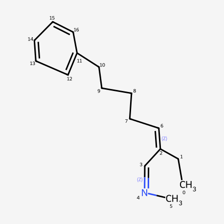 CCC(/C=N\C)=C/CCCCc1ccccc1